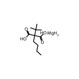 CCCCC(C(=O)O)(C(=O)O)C(C)(C)C.[MgH2]